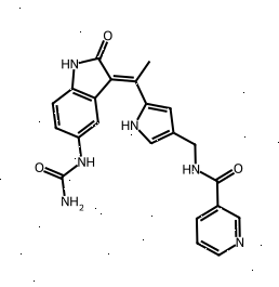 CC(=C1C(=O)Nc2ccc(NC(N)=O)cc21)c1cc(CNC(=O)c2cccnc2)c[nH]1